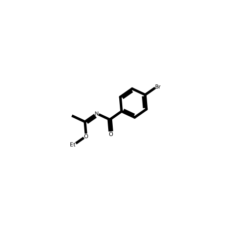 CCOC(C)=NC(=O)c1ccc(Br)cc1